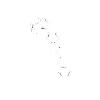 Fc1ccc(CCNCc2ccc(-c3ccnc4c3CCN4)cc2)cc1